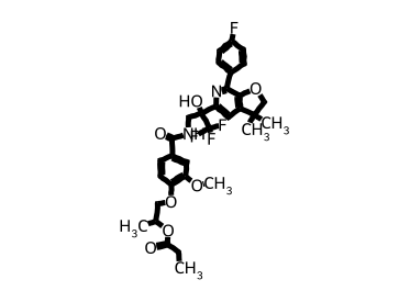 CCC(=O)OC(C)COc1ccc(C(=O)NCC(O)(c2cc3c(c(-c4ccc(F)cc4)n2)OCC3(C)C)C(F)(F)F)cc1OC